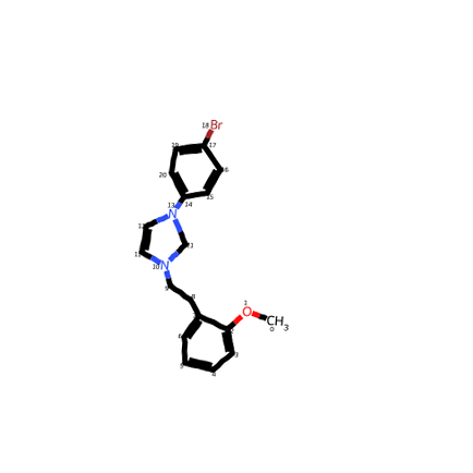 COc1ccccc1CCN1C=CN(c2ccc(Br)cc2)C1